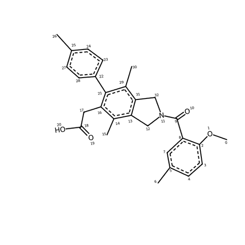 COc1ccc(C)cc1C(=O)N1Cc2c(C)c(CC(=O)O)c(-c3ccc(C)cc3)c(C)c2C1